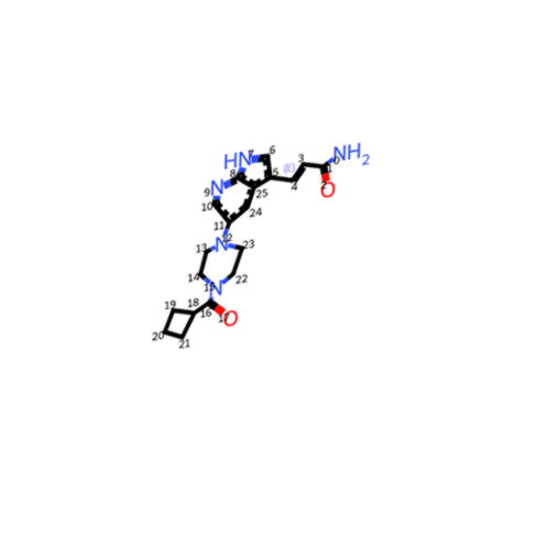 NC(=O)/C=C/c1c[nH]c2ncc(N3CCN(C(=O)C4CCC4)CC3)cc12